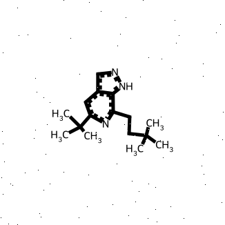 CC(C)(C)CCc1nc(C(C)(C)C)cc2cn[nH]c12